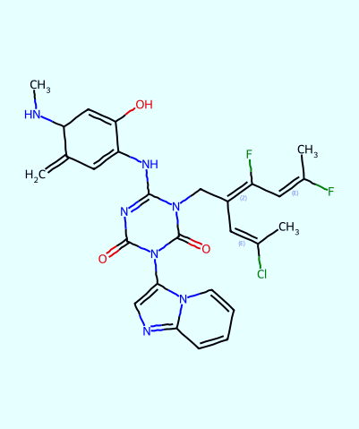 C=C1C=C(Nc2nc(=O)n(-c3cnc4ccccn34)c(=O)n2CC(/C=C(\C)Cl)=C(F)/C=C(\C)F)C(O)=CC1NC